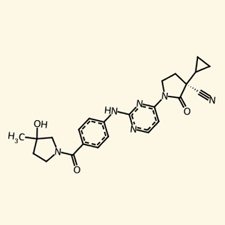 CC1(O)CCN(C(=O)c2ccc(Nc3nccc(N4CC[C@@](C#N)(C5CC5)C4=O)n3)cc2)C1